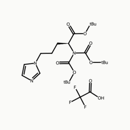 CC(C)(C)OC(=O)[C@H](CCCn1ccnc1)N(C(=O)OC(C)(C)C)C(=O)OC(C)(C)C.O=C(O)C(F)(F)F